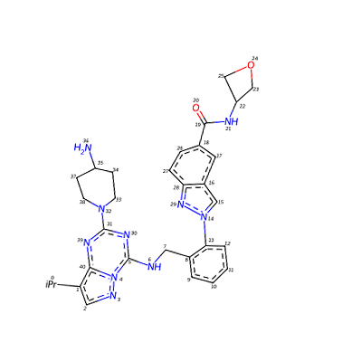 CC(C)c1cnn2c(NCc3ccccc3-n3cc4cc(C(=O)NC5COC5)ccc4n3)nc(N3CCC(N)CC3)nc12